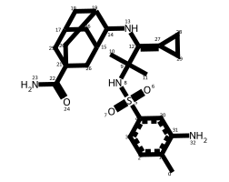 Cc1ccc(S(=O)(=O)NC(C)(C)C(NC2C3CC4CC2CC(C(N)=O)(C4)C3)=C2CC2)cc1N